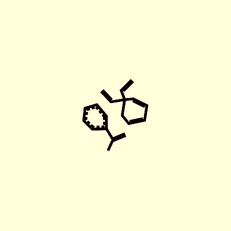 C=C(C)c1ccccc1.C=CC1(C=C)C=CC=CC1